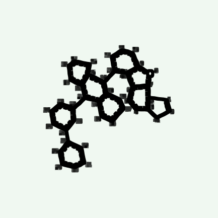 C1=Cc2c(ccc3c2oc2cccc(-c4c5ccccc5c(-c5cccc(-c6ccccc6)c5)c5ccccc45)c23)C1